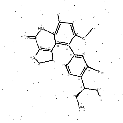 COc1cc(C)c2[nH]c(=O)c3c(c2c1-c1ccc([C@H](CN)CF)c(F)c1)CCS3